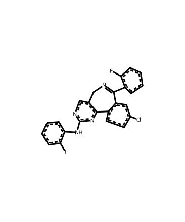 Fc1ccccc1C1=NCc2cnc(Nc3ccccc3I)nc2-c2ccc(Cl)cc21